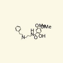 COc1cc(O)c(C(=O)NCCCN(C)CCc2ccccc2)cc1OC